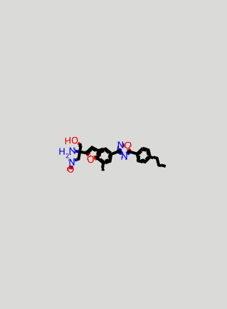 CCCc1ccc(-c2nc(-c3cc(C)c4oc(C(N)(CO)CN=O)cc4c3)no2)cc1